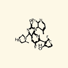 CCCC1N=CC=C(C)C1n1c(=O)nc(N2CCNC[C@@H]2C)c2cc(F)c(-c3c(O)cccc3F)nc21